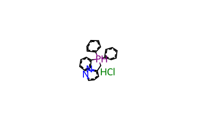 Cl.c1ccc([PH](Cc2cccnn2)(c2ccccc2)c2ccccc2)cc1